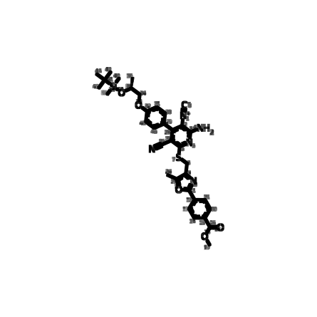 [C-]#[N+]c1c(N)nc(SCc2nc(-c3ccc(C(=O)OC)cc3)oc2C)c(C#N)c1-c1ccc(OC[C@H](C)O[Si](C)(C)C(C)(C)C)cc1